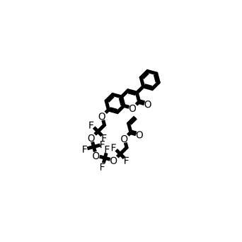 C=CC(=O)OCC(F)(F)OC(F)(F)OC(F)(F)OC(F)(F)COc1ccc2cc(-c3ccccc3)c(=O)oc2c1